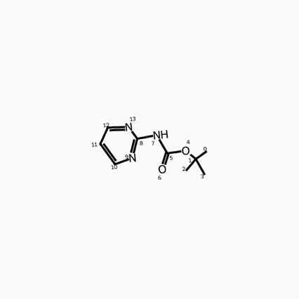 CC(C)(C)OC(=O)Nc1ncccn1